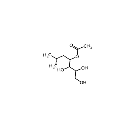 CC(=O)OC(CC(C)C)C(O)C(O)CO